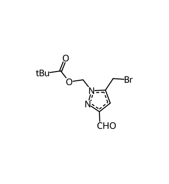 CC(C)(C)C(=O)OCn1nc(C=O)cc1CBr